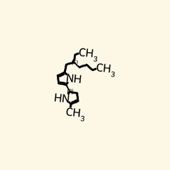 CCCC[C@H](CC)Cc1ccc([C@H]2CC=C(C)N2)[nH]1